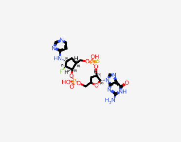 Nc1nc2c(ncn2[C@@H]2OC3COP(=O)(O)O[C@@H]4[C@@H](COP(O)(=S)O[C@@H]2C3)C[C@@H](Nc2ccncn2)[C@@H]4F)c(=O)[nH]1